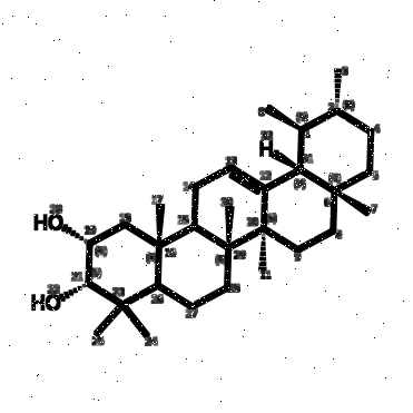 C[C@H]1[C@H](C)CC[C@]2(C)CC[C@]3(C)C(=CCC4[C@@]5(C)C[C@@H](O)[C@@H](O)C(C)(C)C5CC[C@]43C)[C@H]12